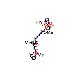 CO[C@H]1CCC[C@@](C)(C[C@@H](C)CCC(=O)[C@H](C)/C=C(\C)C[C@@H](OC)C(=O)[C@H](C)C[C@H](C)/C=C/C=C/C=C(\C)[C@H](C[C@@H]2CC[C@@H](C)[C@](O)(C(=O)C(=O)N3CCCC[C@H]3C(=O)O)O2)OC)C1